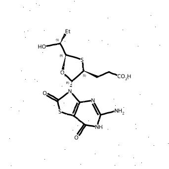 CC[C@H](O)[C@@H]1O[C@@H](n2c(=O)sc3c(=O)[nH]c(N)nc32)[C@H](CCC(=O)O)S1